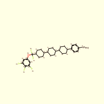 CCCCCc1ccc(C2CCC(C3CCC(C4CCC(C(F)(F)Oc5cc(F)c(F)c(F)c5)CC4)CC3)CC2)cc1